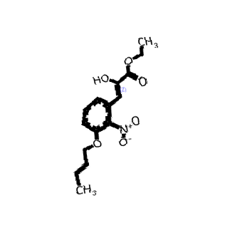 CCCCOc1cccc(/C=C(\O)C(=O)OCC)c1[N+](=O)[O-]